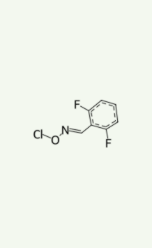 Fc1cccc(F)c1C=NOCl